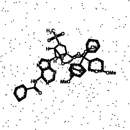 COc1ccc(C(OC[C@@]23CN(S(C)(=O)=O)[C@@H]([C@H](n4cnc5c(NC(=O)c6ccccc6)ncnc54)O2)[C@@H]3OP(OCCC#N)N(C(C)C)C(C)C)(c2ccccc2)c2ccc(OC)cc2)cc1